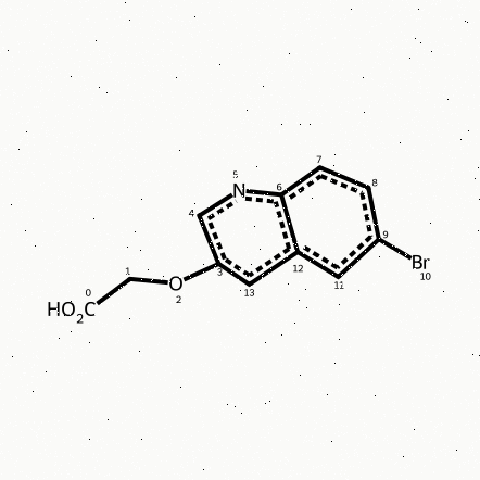 O=C(O)COc1cnc2ccc(Br)cc2c1